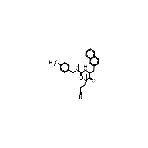 Cc1ccc(CNC(=O)NC(Cc2ccc3ccccc3c2)C(=O)NCCC#N)cc1